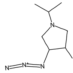 CC1CN(C(C)C)CC1N=[N+]=[N-]